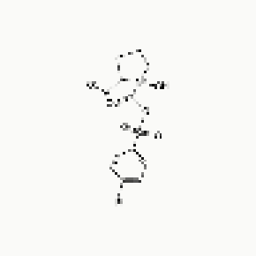 O=C([O-])C1CCC[N@+]1(O)C(=O)OS(=O)(=O)c1ccc(Br)cc1